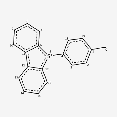 Cc1ccc(-[s+]2c3ccccc3c3ccccc32)cc1